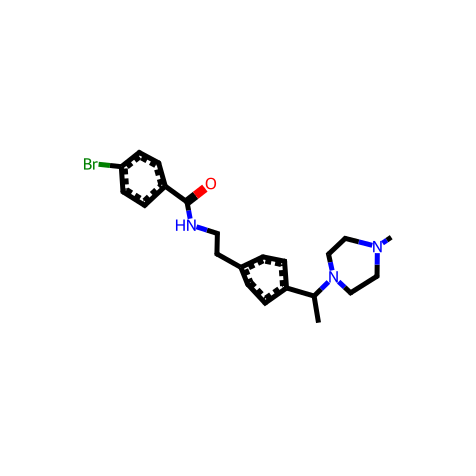 CC(c1ccc(CCNC(=O)c2ccc(Br)cc2)cc1)N1CCN(C)CC1